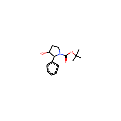 CC(C)(C)OC(=O)N1CCC(O)C1c1ccccc1